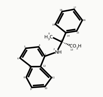 C[C@@](Nc1cccc2ccccc12)(C(=O)O)c1ccccc1